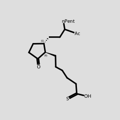 CCCCCC(CC[C@H]1CCC(=O)[C@@H]1CCCCCC(O)=S)C(C)=O